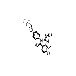 CCSc1nc2c(ccc(=O)n2C)c(=O)n1-c1ccc(OCC(F)(F)F)cc1